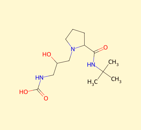 CC(C)(C)NC(=O)C1CCCN1CC(O)CNC(=O)O